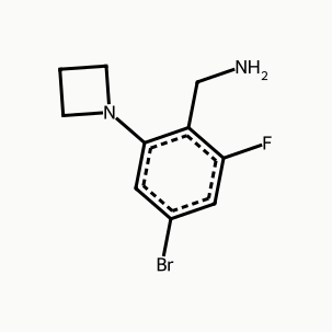 NCc1c(F)cc(Br)cc1N1CCC1